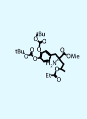 CCC(=O)OC(C)C[C@@](N)(Cc1ccc(OC(=O)OC(C)(C)C)c(OC(=O)OC(C)(C)C)c1)C(=O)OC